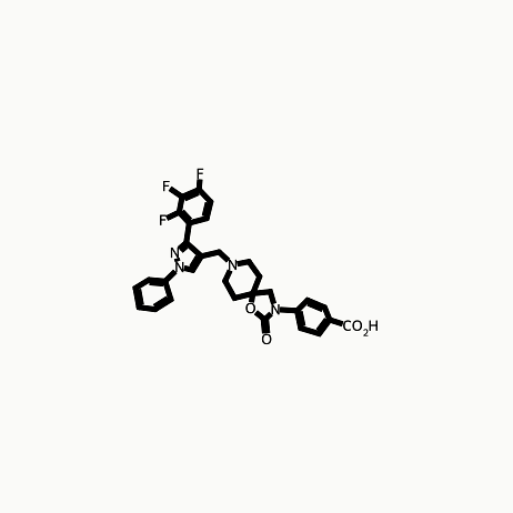 O=C(O)c1ccc(N2CC3(CCN(Cc4cn(-c5ccccc5)nc4-c4ccc(F)c(F)c4F)CC3)OC2=O)cc1